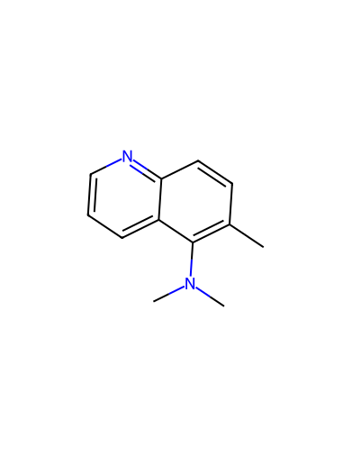 Cc1ccc2ncccc2c1N(C)C